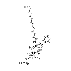 CCCCCCCCCCCCCCNC(=O)N(C)[C@H](COCc1ccccc1)C(=O)N[C@H](N)C(=O)NCC(=O)O